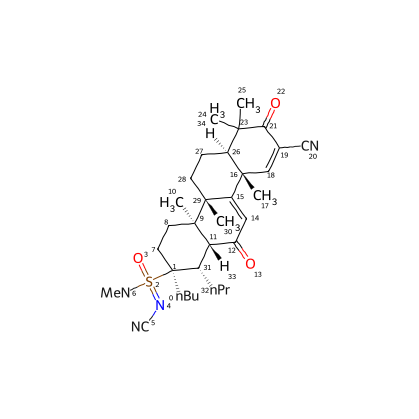 CCCC[C@]1(S(=O)(=NC#N)NC)CC[C@]2(C)[C@H](C(=O)C=C3[C@@]4(C)C=C(C#N)C(=O)C(C)(C)[C@@H]4CC[C@]32C)[C@@H]1CCC